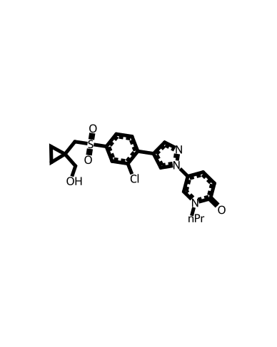 CCCn1cc(-n2cc(-c3ccc(S(=O)(=O)CC4(CO)CC4)cc3Cl)cn2)ccc1=O